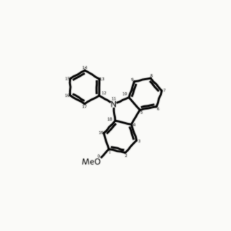 COc1ccc2c3ccccc3n(-c3ccccc3)c2c1